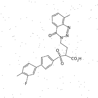 Cc1ccc(-c2ccc(S(=O)(=O)C(CCn3nnc4c(C)cccc4c3=O)C(=O)O)cc2)cc1F